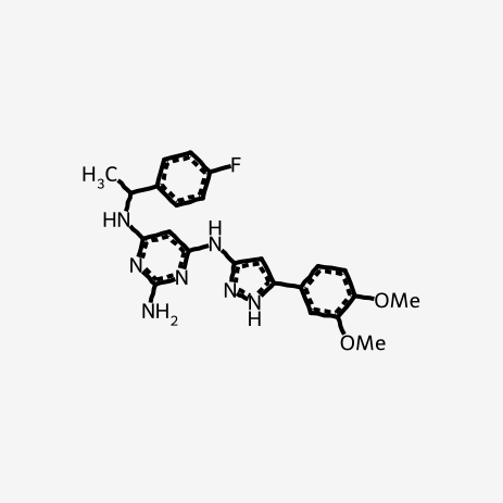 COc1ccc(-c2cc(Nc3cc(NC(C)c4ccc(F)cc4)nc(N)n3)n[nH]2)cc1OC